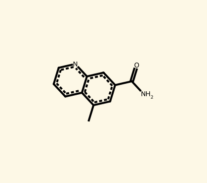 Cc1cc(C(N)=O)cc2ncccc12